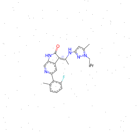 C/C(Nc1cc(C)n(CC(C)C)n1)=C1/C(=O)Nc2cnc(-c3c(C)cccc3F)cc21